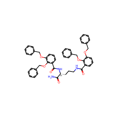 NC(=O)[C@@H](CCCNC(=O)c1cccc(OCc2ccccc2)c1OCc1ccccc1)NC(=O)c1cccc(OCc2ccccc2)c1OCc1ccccc1